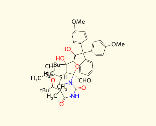 COc1ccc(C(c2ccccc2)(c2ccc(OC)cc2)C(O)[C@H]2O[C@@](C=O)(N3CC(C)(C(O[SiH](C)C)C(C)(C)C)C(=O)NC3=O)C([SiH](C)C)[C@@]2(O)C(C)(C)C)cc1